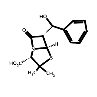 CC1(C)S[C@@H]2[C@@H](C(O)c3ccccc3)C(=O)N2[C@H]1C(=O)O